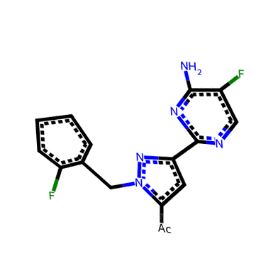 CC(=O)c1cc(-c2ncc(F)c(N)n2)nn1Cc1ccccc1F